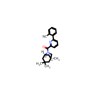 CC1(C)C[C@@H]2C[C@@](C)(CN2C(=O)c2cccc(-c3ccccc3C#N)n2)C1